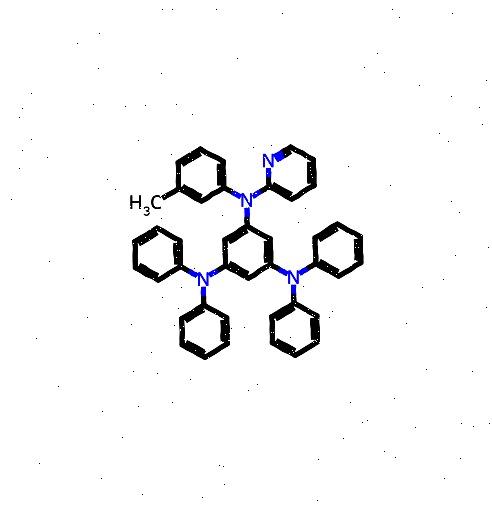 Cc1cccc(N(c2cc(N(c3ccccc3)c3ccccc3)cc(N(c3ccccc3)c3ccccc3)c2)c2ccccn2)c1